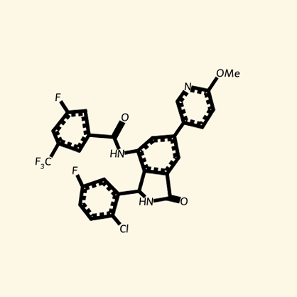 COc1ccc(-c2cc(NC(=O)c3cc(F)cc(C(F)(F)F)c3)c3c(c2)C(=O)NC3c2cc(F)ccc2Cl)cn1